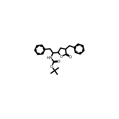 CC(C)(C)OC(=O)NC(Cc1ccccc1)C1CC(Cc2ccccc2)C(=O)O1